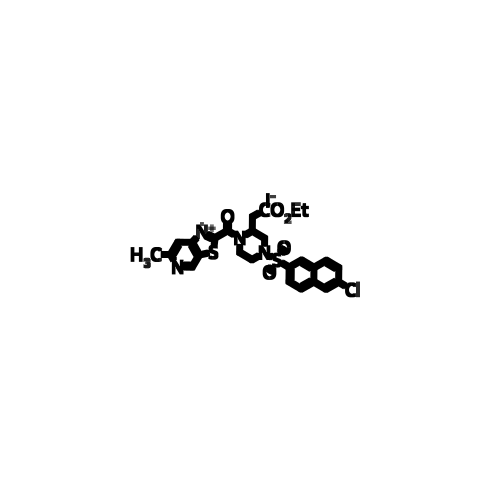 CCOC(=O)CC1CN(S(=O)(=O)c2ccc3cc(Cl)ccc3c2)CCN1C(=O)C1=[N+]c2cc(C)ncc2S1.[I-]